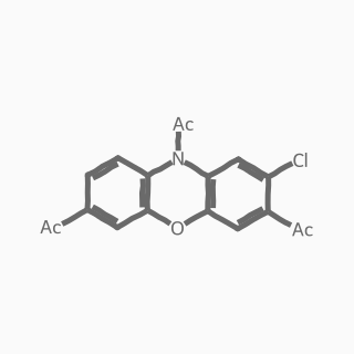 CC(=O)c1ccc2c(c1)Oc1cc(C(C)=O)c(Cl)cc1N2C(C)=O